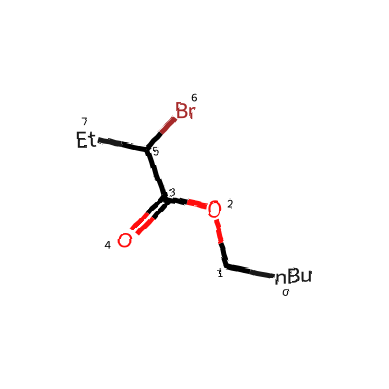 CCCCCOC(=O)C(Br)CC